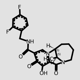 C[C@H]1[C@@H]2CCCCN1C(=O)c1c(O)c(=O)c(C(=O)NCc3ccc(F)cc3F)cn12